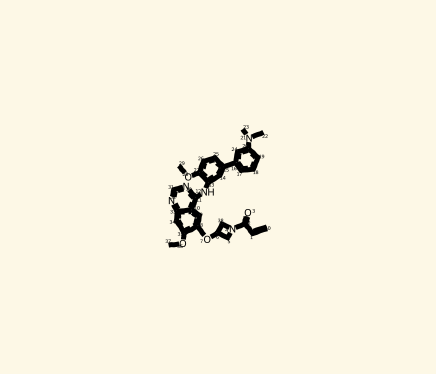 C=CC(=O)N1CC(Oc2cc3c(Nc4cc(-c5cccc(N(C)C)c5)ccc4OC)ncnc3cc2OC)C1